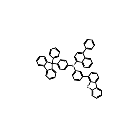 c1ccc(-c2ccc(N(c3ccc(C4(c5ccccc5)c5ccccc5-c5ccccc54)cc3)c3cccc(-c4cccc5c4oc4ccccc45)c3)c3ccccc23)cc1